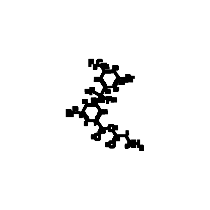 NCC(=O)OC(=O)c1cc(Br)cc(C(F)(F)c2cc(Br)cc(C(F)(F)F)c2)c1